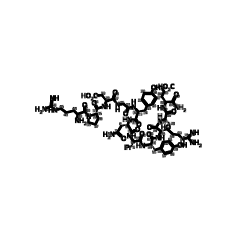 CC(C)[C@H](NC(=O)[C@H](CC(N)=O)NC(=O)[C@H](Cc1ccc(O)cc1)NC(=O)CNC(=O)[C@H](CC(=O)O)NC(=O)[C@@H]1CCCN1C(=O)[C@@H](N)CCCNC(=N)N)C(=O)N[C@@H](Cc1ccc(O)cc1)C(=O)N[C@@H](CCCNC(=N)N)C(=O)N[C@@H](CO)C(=O)N[C@@H](CCC(=O)O)C(N)=O